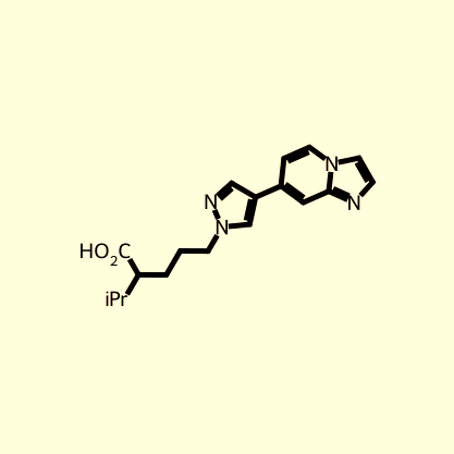 CC(C)C(CCCn1cc(-c2ccn3ccnc3c2)cn1)C(=O)O